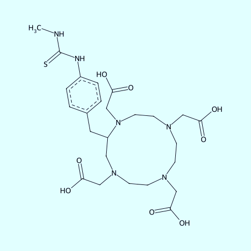 CNC(=S)Nc1ccc(CC2CN(CC(=O)O)CCN(CC(=O)O)CCN(CC(=O)O)CCN2CC(=O)O)cc1